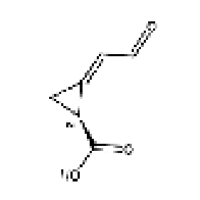 O=CC=C1C[C@@H]1C(=O)O